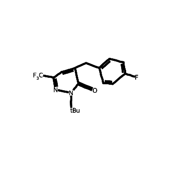 CC(C)(C)n1nc(C(F)(F)F)cc(Cc2ccc(F)cc2)c1=O